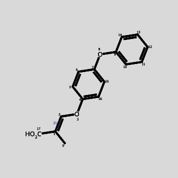 C/C(=C\Oc1ccc(Oc2ccccc2)cc1)C(=O)O